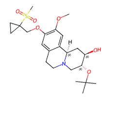 COc1cc2c(cc1OCC1(S(C)(=O)=O)CC1)CCN1C[C@@H](OC(C)(C)C)[C@H](O)C[C@H]21